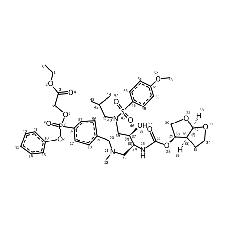 CCOC(=O)COP(=O)(Oc1ccccc1)c1ccc(CN(C)C[C@H](NC(=O)O[C@H]2CO[C@H]3OCC[C@H]32)[C@H](O)CN(CC(C)C)S(=O)(=O)c2ccc(OC)cc2)cc1